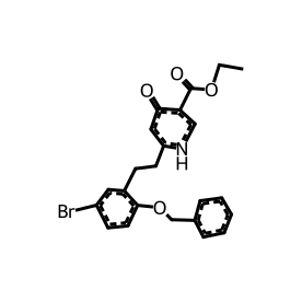 CCOC(=O)c1c[nH]c(CCc2cc(Br)ccc2OCc2ccccc2)cc1=O